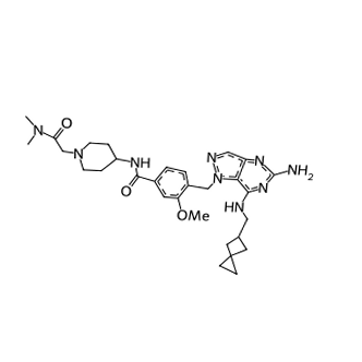 COc1cc(C(=O)NC2CCN(CC(=O)N(C)C)CC2)ccc1Cn1ncc2nc(N)nc(NCC3CC4(CC4)C3)c21